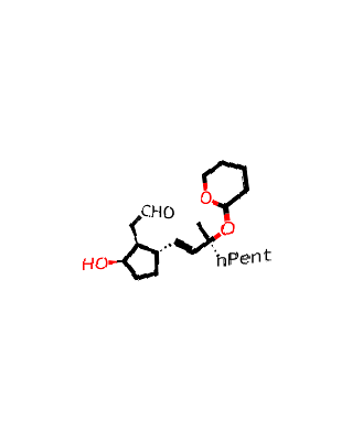 CCCCC[C@@](C)(C=C[C@@H]1CC[C@@H](O)[C@H]1CC=O)OC1CCCCO1